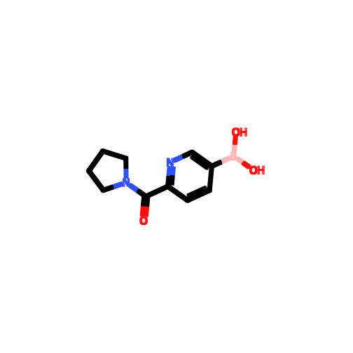 O=C(c1ccc(B(O)O)cn1)N1CCCC1